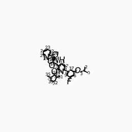 CC(C)COc1cc(F)cc(-c2ccc(C(=O)NS(=O)(=O)c3ccccn3)c(OC3C(C)CCC3C)n2)c1